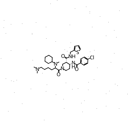 CN(C)CCCCC(C(=O)N1CC[C@@H](NC(=O)c2ccc(Cl)cc2)[C@@H](C(=O)NCc2cccs2)C1)N(C)C1CCCCC1